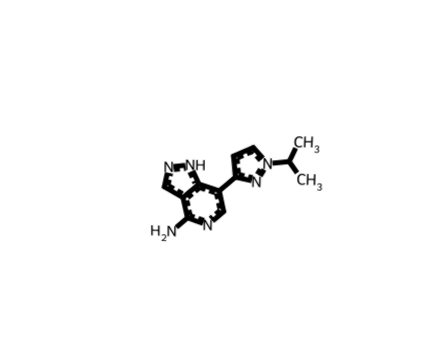 CC(C)n1ccc(-c2cnc(N)c3cn[nH]c23)n1